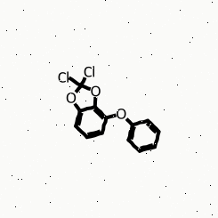 ClC1(Cl)Oc2cccc(Oc3ccccc3)c2O1